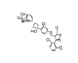 C[SH](=O)(C=O)c1cccc([C@H]2C[C@](O)(c3ccc(OCc4c(-c5c(Cl)cccc5Cl)noc4C4CC4)cc3Cl)C2)c1